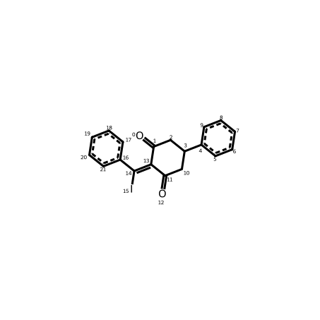 O=C1CC(c2ccccc2)CC(=O)C1=C(I)c1ccccc1